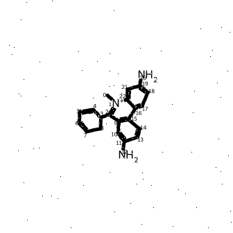 C[n+]1c(C2C=CC=CC2)c2cc(N)ccc2c2ccc(N)cc21